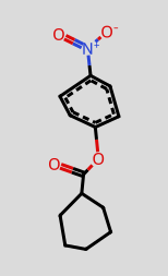 O=C(Oc1ccc([N+](=O)[O-])cc1)C1CCCCC1